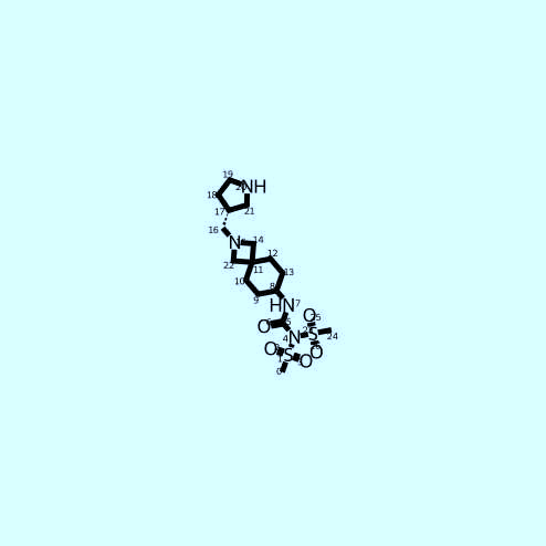 CS(=O)(=O)N(C(=O)NC1CCC2(CC1)CN(C[C@@H]1CCNC1)C2)S(C)(=O)=O